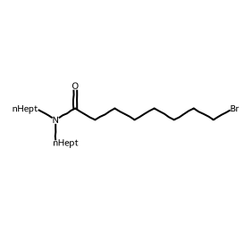 CCCCCCCN(CCCCCCC)C(=O)CCCCCCCBr